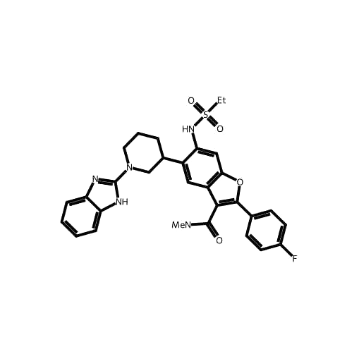 CCS(=O)(=O)Nc1cc2oc(-c3ccc(F)cc3)c(C(=O)NC)c2cc1C1CCCN(c2nc3ccccc3[nH]2)C1